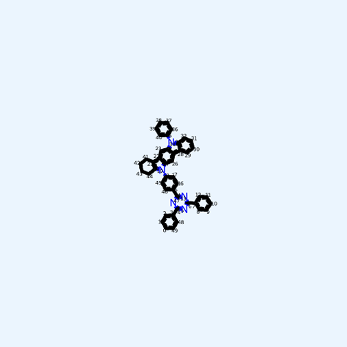 c1ccc(-c2nc(-c3ccccc3)nc(-c3ccc(-n4c5c(c6cc7c(cc64)c4ccccc4n7-c4ccccc4)CCCC5)cc3)n2)cc1